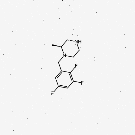 C[C@H]1CNCCN1Cc1cc(F)cc(F)c1F